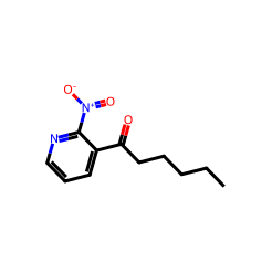 CCCCCC(=O)c1cccnc1[N+](=O)[O-]